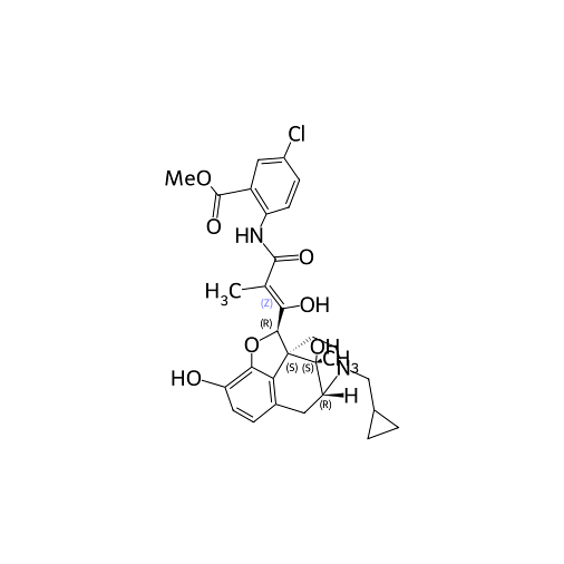 COC(=O)c1cc(Cl)ccc1NC(=O)/C(C)=C(\O)[C@@H]1Oc2c(O)ccc3c2[C@@]12CCN(CC1CC1)[C@H](C3)[C@@]2(C)O